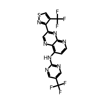 FC(F)(F)c1cnc(Nc2ccnc3nc(-c4nscc4C(F)(F)F)cnc23)nc1